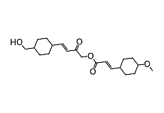 COC1CCC(/C=C/C(=O)OCC(=O)/C=C/C2CCC(CO)CC2)CC1